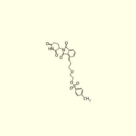 Cc1ccc(S(=O)(=O)OCCOCCSc2cccc3c2C(=O)N(C2CCC(=O)NC2=O)C3=O)cc1